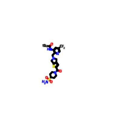 CC(C)(C)C(=O)Nc1cc(C(F)(F)F)cnc1CN1Cc2cc(C(=O)N3CCC(S(N)(=O)=O)CC3)sc2C1